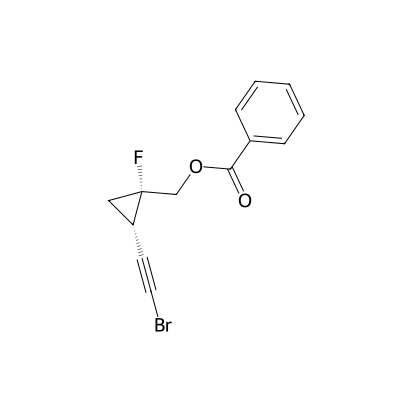 O=C(OC[C@]1(F)C[C@H]1C#CBr)c1ccccc1